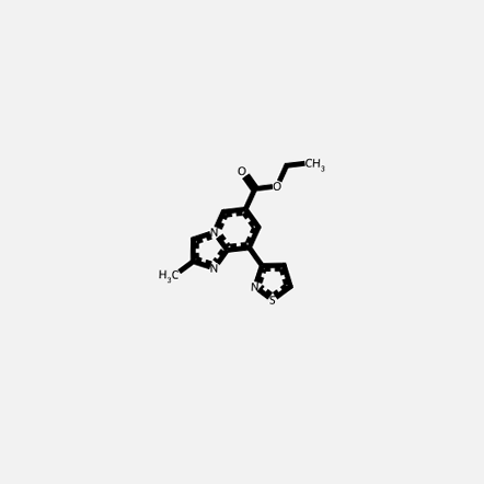 CCOC(=O)c1cc(-c2ccsn2)c2nc(C)cn2c1